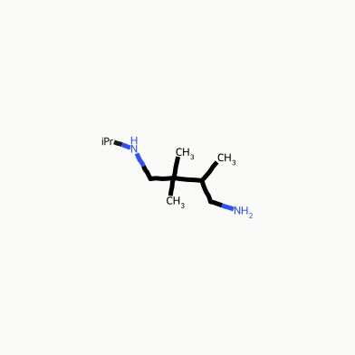 CC(C)NCC(C)(C)C(C)CN